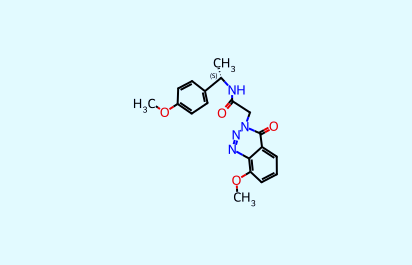 COc1ccc([C@H](C)NC(=O)Cn2nnc3c(OC)cccc3c2=O)cc1